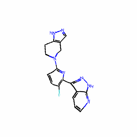 Fc1ccc(N2CCc3[nH]ncc3C2)nc1-c1n[nH]c2ncccc12